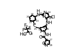 O=C(Nc1cc2cc(c1)Nc1nc(ncc1Cl)Nc1cccc(c1)CC2)c1ccno1.O=C(O)C(F)(F)F